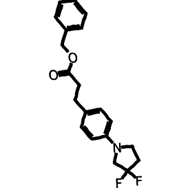 O=C(CCc1ccc(N2CCC(F)(F)C2)cc1)OCc1ccccc1